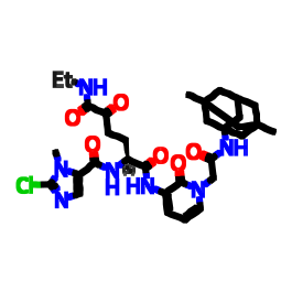 CCNC(=O)C(=O)CC[C@H](NC(=O)c1cnc(Cl)n1C)C(=O)Nc1cccn(CC(=O)NC23CC4CC(C)(CC(C)(C4)C2)C3)c1=O